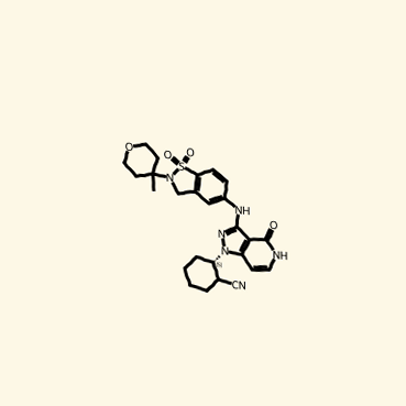 CC1(N2Cc3cc(Nc4nn([C@H]5CCCCC5C#N)c5cc[nH]c(=O)c45)ccc3S2(=O)=O)CCOCC1